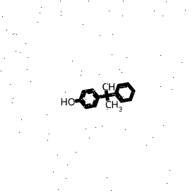 CC(C)(C1=CCCC=C1)c1ccc(O)cc1